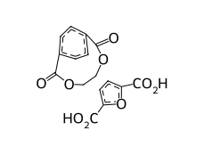 O=C(O)c1ccc(C(=O)O)o1.O=C1OCCOC(=O)c2ccc1cc2